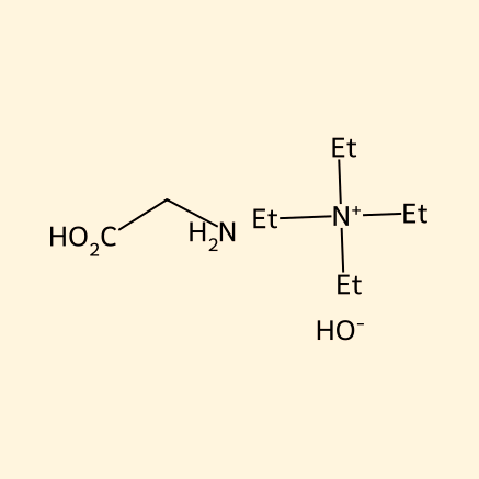 CC[N+](CC)(CC)CC.NCC(=O)O.[OH-]